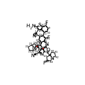 N#Cc1c(N)sc2c(F)ccc(-c3c(Cl)cc4c(N5CC6CCC(C5)N6C(=O)n5ccnc5C#N)nc(OC[C@@]56CCCN5C[C@H](F)C6)nc4c3F)c12